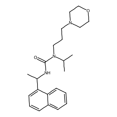 CC(NC(=O)N(CCCN1CCOCC1)C(C)C)c1cccc2ccccc12